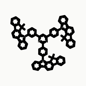 CC1(C)c2ccccc2-c2ccc3c4ccccc4n(-c4ccc(-c5cc(-c6cccc(-n7c8ccccc8c8ccc9c(c87)C(C)(C)c7ccccc7-9)c6)nc(-c6ccc(-n7c8ccccc8c8ccc9c(c87)C(C)(C)c7ccccc7-9)cc6)n5)cc4)c3c21